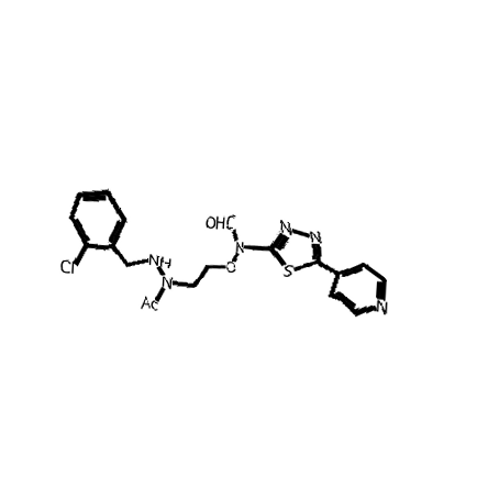 CC(=O)N(CCON(C=O)c1nnc(-c2ccncc2)s1)NCc1ccccc1Cl